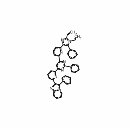 C=Cc1nc(-c2cccc(-c3cc(-c4cccc(-c5nc6ccccn6c5-c5ccccc5)n4)nc(-c4ccccc4)n3)n2)c(-c2ccccc2)n1C=C